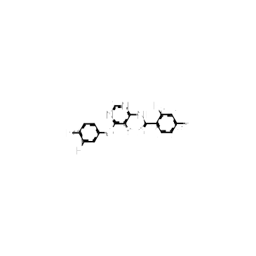 O=C(Nc1ncnc(Oc2ccc(F)c(F)c2)c1Cl)c1ccc(F)cc1F